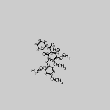 COc1ccc(Cn2c(OC)c(OC)c(O)c(C(=O)C3CC=CCC3)c2=O)c(OC)c1